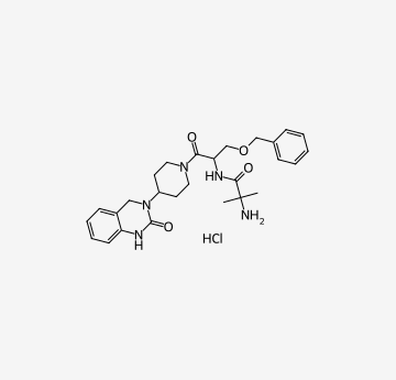 CC(C)(N)C(=O)NC(COCc1ccccc1)C(=O)N1CCC(N2Cc3ccccc3NC2=O)CC1.Cl